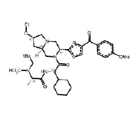 CCO[C@@H]1C[C@@H]2CN(C(=O)[C@@H](NC(=O)[C@H](C)N(CC(C)(C)C)C(=O)O)C3CCCCC3)[C@H](c3nc(C(=O)c4ccc(OC)cc4)cs3)CN2C1